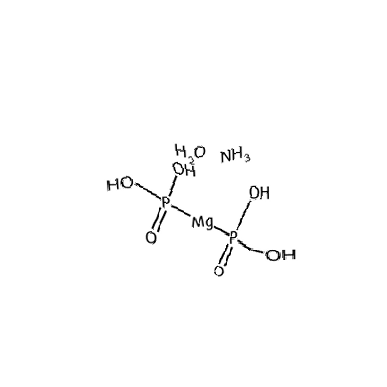 N.O.O=[P](O)(O)[Mg][P](=O)(O)O